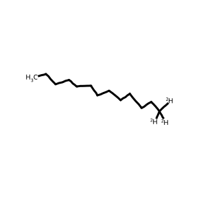 [2H]C([2H])([2H])CCCCCCCCCCCC